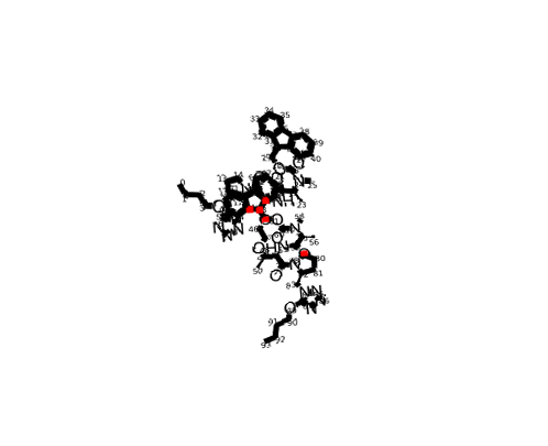 CCCCOc1nnnn1C[C@@H]1CCCN1C(=O)[C@@H](NC(=O)[C@H](C)N(C)C(=O)OCC1c2ccccc2-c2ccccc21)[C@@H](C)OCCO[C@H](C)[C@H](NC(=O)[C@H](C)N(C)C(=O)OCC1c2ccccc2-c2ccccc21)C(=O)N1CCC[C@H]1Cn1nnnc1OCCCC